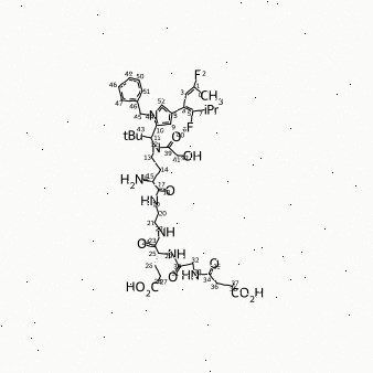 C/C(F)=C\C(=C(\F)C(C)C)c1cc(C(N(CC[C@H](N)C(=O)NCCNC(=O)[C@@H](CCC(=O)O)NC(=O)CNC(=O)CCC(=O)O)C(=O)CO)C(C)(C)C)n(Cc2ccccc2)c1